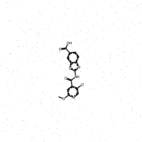 COc1cc(C(=O)Nc2nc3ccc(C(=O)O)cc3s2)c(Cl)cn1